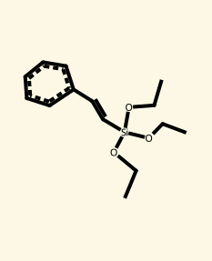 CCO[Si](C=Cc1ccccc1)(OCC)OCC